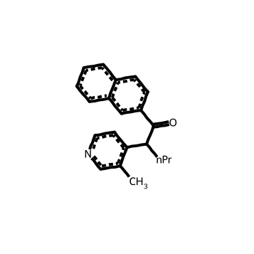 CCCC(C(=O)c1ccc2ccccc2c1)c1ccncc1C